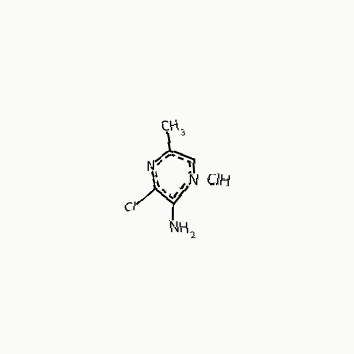 Cc1cnc(N)c(Cl)n1.Cl